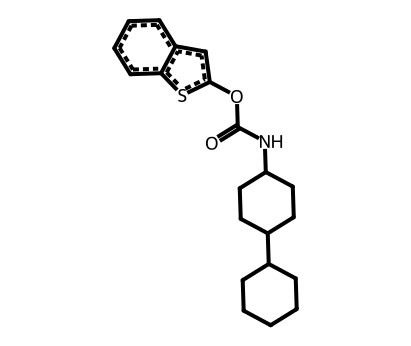 O=C(NC1CCC(C2CCCCC2)CC1)Oc1cc2ccccc2s1